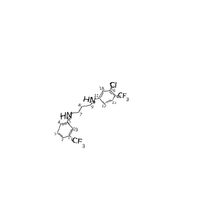 FC(F)(F)c1cccc(NCCCNc2ccc(C(F)(F)F)c(Cl)c2)c1